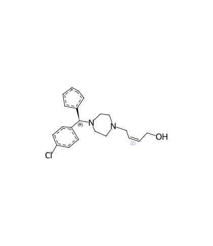 OC/C=C\CN1CCN([C@H](c2ccccc2)c2ccc(Cl)cc2)CC1